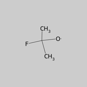 CC(C)([O])F